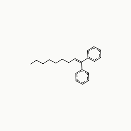 CCCCCCCC=C(c1ccccc1)c1ccccc1